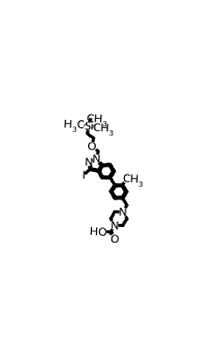 Cc1cc(CN2CCN(C(=O)O)CC2)ccc1-c1ccc2c(c1)c(I)nn2COCC[Si](C)(C)C